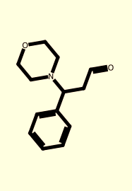 O=CCC(c1ccccc1)N1CCOCC1